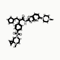 CN1CCN(c2ccc3nc(NC(=O)C(CC4CCCC4)c4ccc(S(=O)(=O)N5CCN(C)C6(CC6)C5)cc4)sc3n2)CC1